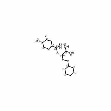 CC1CC([C@@H](O)C[C@@H](CCC2CCCCC2)C(O)O)CCC1O